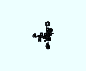 Cc1cn([C@@H]2O[C@H](CCP(C)(C)=O)[C@@H](C)[C@H]2OCC(=O)NCCN(C)C)c(=O)n(COCc2ccccc2)c1=O